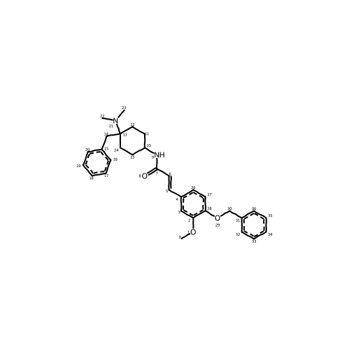 COc1cc(C=CC(=O)NC2CCC(Cc3ccccc3)(N(C)C)CC2)ccc1OCc1ccccc1